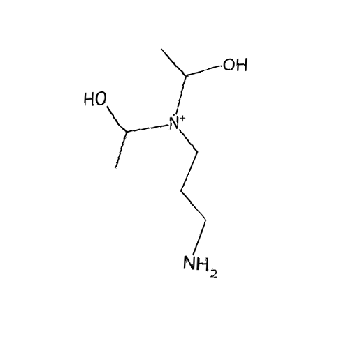 CC(O)[N+](CCCN)C(C)O